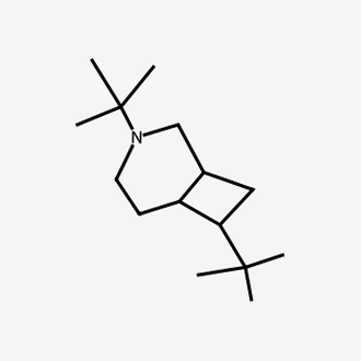 CC(C)(C)C1CC2CN(C(C)(C)C)CCC21